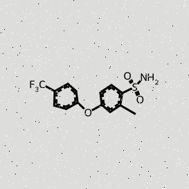 Cc1cc(Oc2ccc(C(F)(F)F)cc2)ccc1S(N)(=O)=O